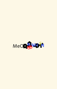 COc1ccc(C(=O)N2CCC[C@H]2C(=O)NCc2ccc(-c3scnc3C)cc2)c(C)c1